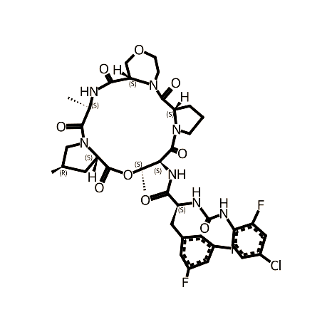 C[C@@H]1C[C@H]2C(=O)O[C@@H](C)[C@H](NC(=O)[C@H](Cc3cc(F)cc(F)c3)NC(=O)Nc3ccc(Cl)cc3F)C(=O)N3CCC[C@H]3C(=O)N3CCOC[C@H]3C(=O)N[C@@H](C)C(=O)N2C1